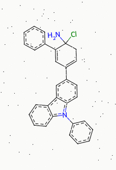 NC1(Cl)CC=C(c2ccc3c(c2)c2ccccc2n3-c2ccccc2)C=C1c1ccccc1